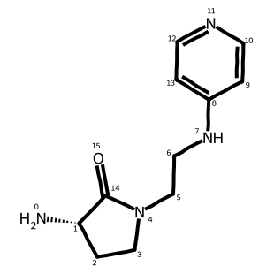 N[C@H]1CCN(CCNc2ccncc2)C1=O